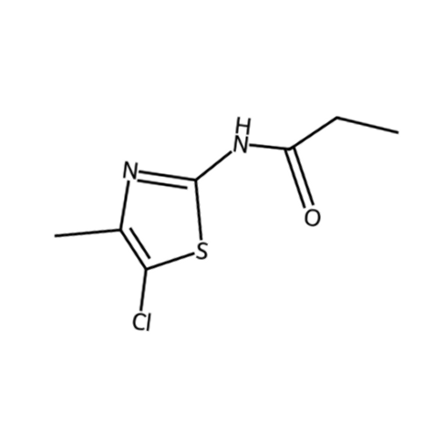 CCC(=O)Nc1nc(C)c(Cl)s1